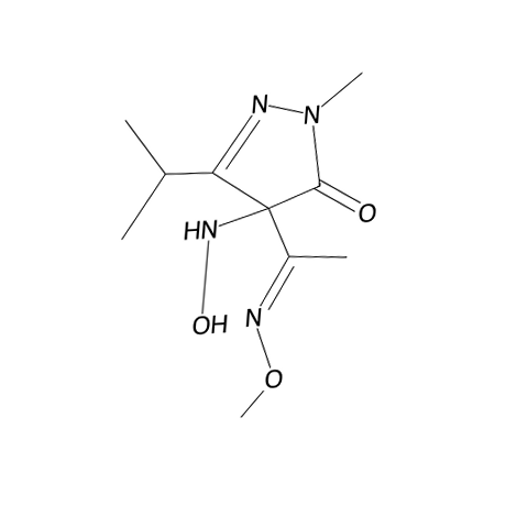 CO/N=C(\C)C1(NO)C(=O)N(C)N=C1C(C)C